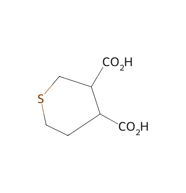 O=C(O)C1CCSCC1C(=O)O